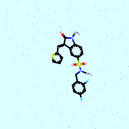 CN1C(=O)/C(=C/c2cccs2)c2cc(S(=O)(=O)N(C)Cc3ccc(F)cc3F)ccc21